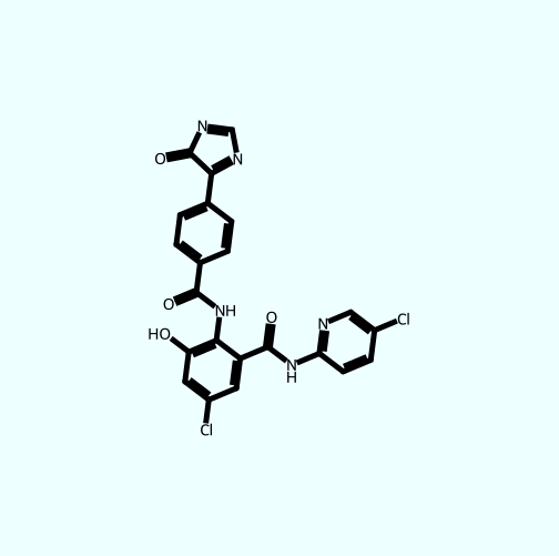 O=C1N=CN=C1c1ccc(C(=O)Nc2c(O)cc(Cl)cc2C(=O)Nc2ccc(Cl)cn2)cc1